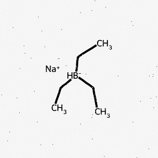 CC[BH-](CC)CC.[Na+]